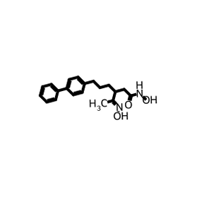 C/C(=N\O)C(CCCc1ccc(-c2ccccc2)cc1)CC(=O)NO